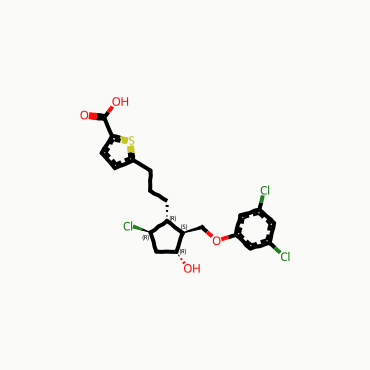 O=C(O)c1ccc(CCC[C@@H]2[C@@H](COc3cc(Cl)cc(Cl)c3)[C@H](O)C[C@H]2Cl)s1